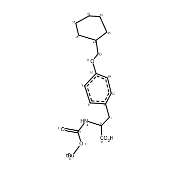 CC(C)(C)OC(=O)NC(Cc1ccc(OCC2CCCCC2)cc1)C(=O)O